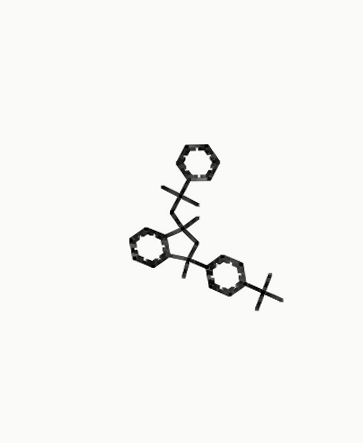 CC(C)(C)c1ccc(C2(C)CC(C)(CC(C)(C)c3ccccc3)c3ccccc32)cc1